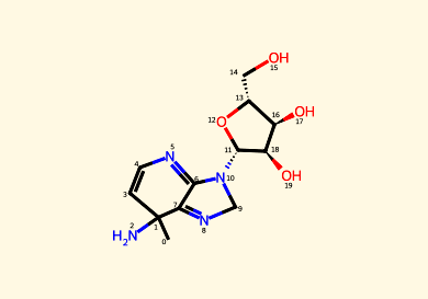 CC1(N)C=CN=C2C1=NCN2[C@@H]1O[C@H](CO)[C@@H](O)[C@H]1O